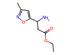 CCOC(=O)CC(N)c1cc(C)no1